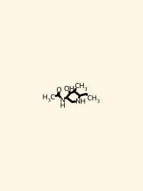 CCC1NCC(NC(C)=O)C(O)C1C